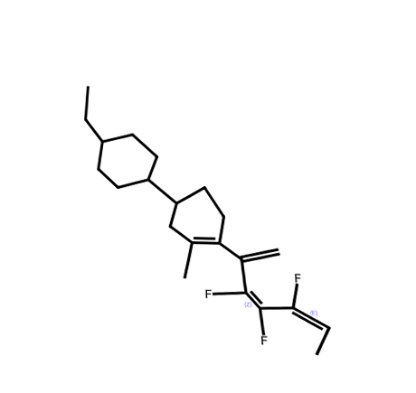 C=C(C1=C(C)CC(C2CCC(CC)CC2)CC1)/C(F)=C(F)\C(F)=C/C